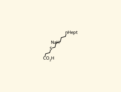 CCCCCCCCCCCCSCCC(=O)O.[NaH]